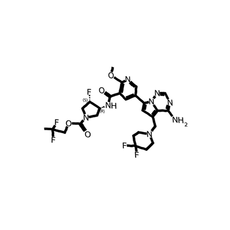 COc1ncc(-c2cc(CN3CCC(F)(F)CC3)c3c(N)ncnn23)cc1C(=O)N[C@@H]1CN(C(=O)OCC(C)(F)F)C[C@@H]1F